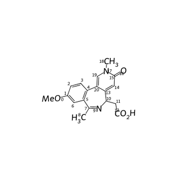 COc1ccc2c(c1)C(C)=NC(CC(=O)O)c1cc(=O)n(C)cc1-2